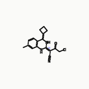 Cc1ccc2c(c1)N/C(=C(\C#N)C(=O)CCl)NC2=C1CCC1